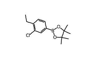 CCc1ccc(B2OC(C)(C)C(C)(C)O2)cc1Cl